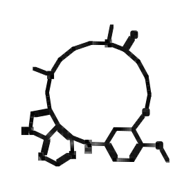 COC1=CC=C2CC1OCCCC(=O)N(C)CCCN(C)Cc1c[nH]c3ncnc(c13)N2